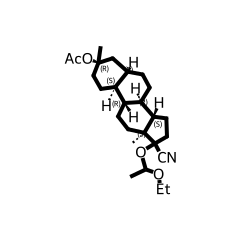 CCOC(C)OC1(C#N)CC[C@H]2[C@@H]3CC[C@@H]4C[C@](C)(OC(C)=O)CC[C@@H]4[C@H]3CC[C@@]21C